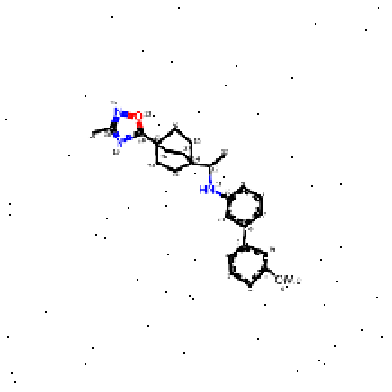 COc1cccc(-c2cccc(NC(C)C34CCC(c5nc(C)no5)(CC3)CC4)c2)c1